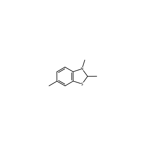 Cc1ccc2c(c1)SC(C)N2C